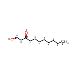 CCCCCCCCC(=O)C[C]=O